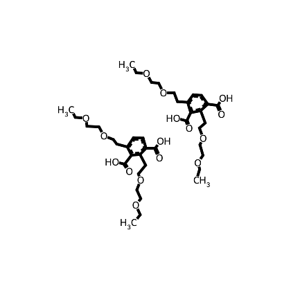 CCOCCOCCc1ccc(C(=O)O)c(CCOCCOCC)c1C(=O)O.CCOCCOCCc1ccc(C(=O)O)c(CCOCCOCC)c1C(=O)O